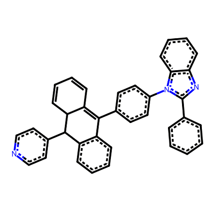 C1=CC2=C(c3ccc(-n4c(-c5ccccc5)nc5ccccc54)cc3)c3ccccc3C(c3ccncc3)C2C=C1